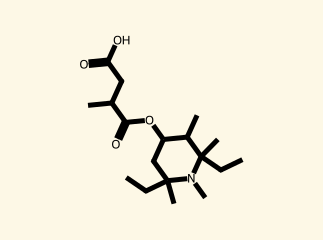 CCC1(C)CC(OC(=O)C(C)CC(=O)O)C(C)C(C)(CC)N1C